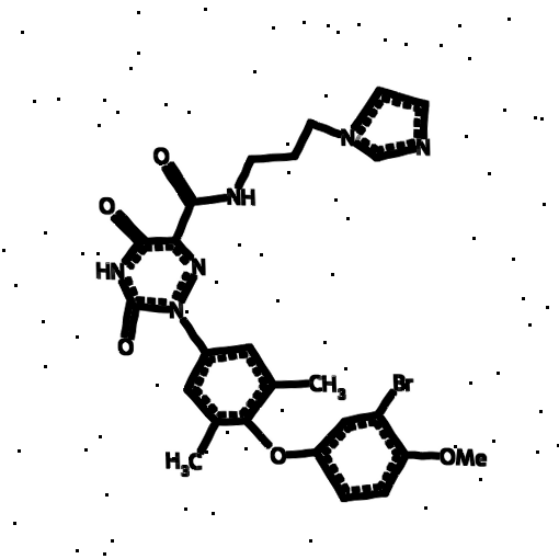 COc1ccc(Oc2c(C)cc(-n3nc(C(=O)NCCCn4ccnc4)c(=O)[nH]c3=O)cc2C)cc1Br